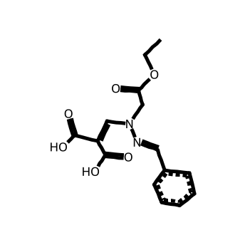 CCOC(=O)CN(C=C(C(=O)O)C(=O)O)N=Cc1ccccc1